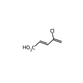 C=C(Cl)C=CC(=O)O